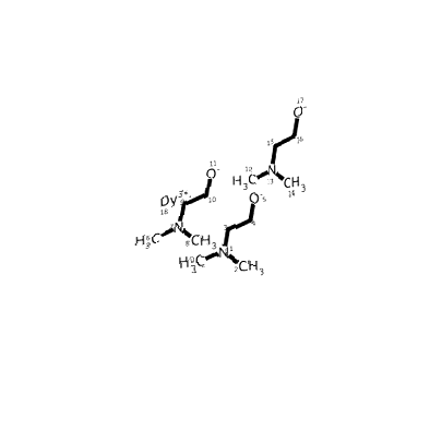 CN(C)CC[O-].CN(C)CC[O-].CN(C)CC[O-].[Dy+3]